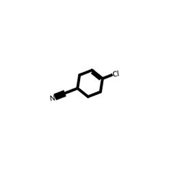 N#CC1CC=C(Cl)CC1